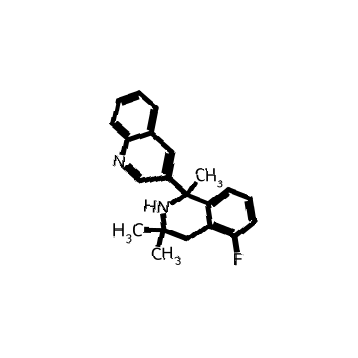 CC1(C)Cc2c(F)cccc2C(C)(c2cnc3ccccc3c2)N1